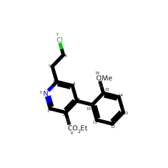 CCOC(=O)c1cnc(CCCl)cc1-c1ccccc1OC